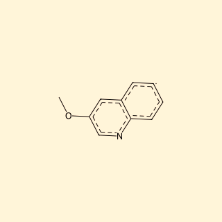 COc1cnc2cc[c]cc2c1